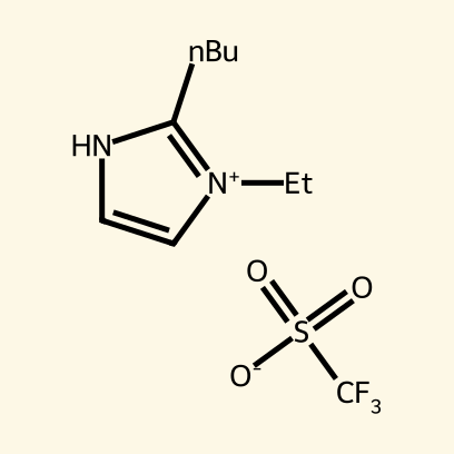 CCCCc1[nH]cc[n+]1CC.O=S(=O)([O-])C(F)(F)F